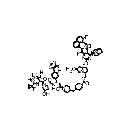 C#Cc1c(F)ccc2cccc(-c3ncc4c(N5CC6CCC(C5)N6)nc(OC[C@@]56CC[C@@H](COC(=O)N7CCC(CC8CCN(C(=O)C[C@H](NC(=O)[C@@H]9C[C@@H](O)CN9C(=O)[C@@H](NC(=O)C9(F)CC9)C(C)(C)C)c9ccc(-c%10scnc%10C)cc9)CC8)CC7)N5CC(=C)C6)nc4c3F)c12